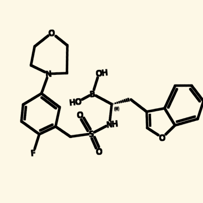 O=S(=O)(Cc1cc(N2CCOCC2)ccc1F)N[C@@H](Cc1coc2ccccc12)B(O)O